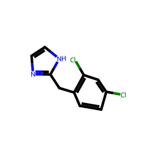 Clc1ccc(Cc2ncc[nH]2)c(Cl)c1